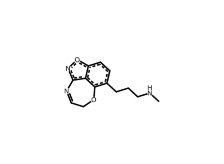 CNCCCc1ccc2onc3c2c1OCC=N3